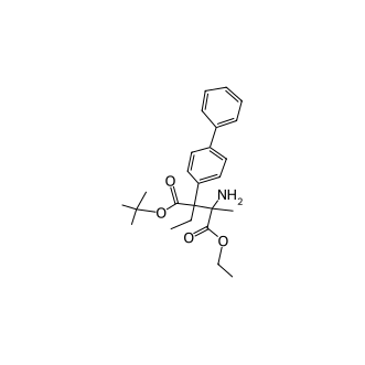 CCOC(=O)C(C)(N)C(CC)(C(=O)OC(C)(C)C)c1ccc(-c2ccccc2)cc1